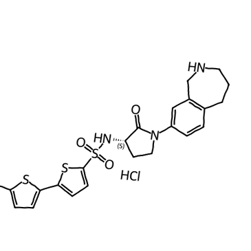 Cl.O=C1[C@@H](NS(=O)(=O)c2ccc(-c3ccc(Cl)s3)s2)CCN1c1ccc2c(c1)CNCCC2